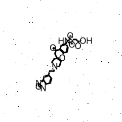 O=C(O)CS(=O)(=O)Nc1ccc2c(c1)C(=O)CC1(CCN(CCc3ccc4nonc4c3)CC1)O2